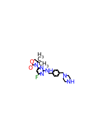 CC1(C)COC(=O)N1c1cc(F)nc(NCc2ccc(CN3CCNCC3)cc2)n1